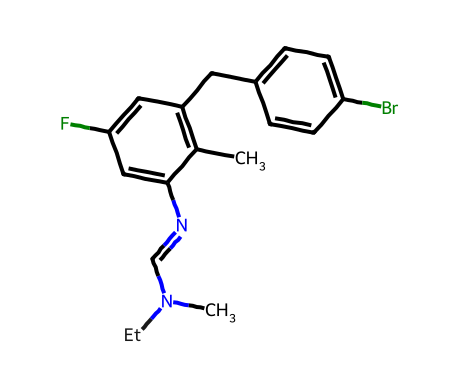 CCN(C)C=Nc1cc(F)cc(Cc2ccc(Br)cc2)c1C